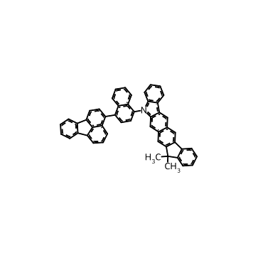 CC1(C)c2ccccc2-c2cc3cc4c5ccccc5n(-c5ccc(-c6ccc7c8c(cccc68)-c6ccccc6-7)c6ccccc56)c4cc3cc21